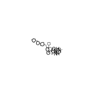 Cc1cc(C)n2nc(SC3=C(O)CC(CCc4ccc(OCc5ccccc5)cc4)(C4CCCC4)OC3=O)nc2n1